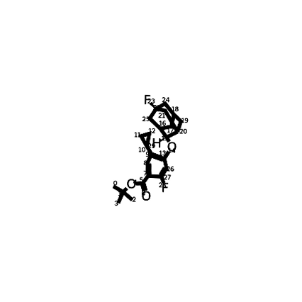 CC(C)(C)OC(=O)c1cc(C2CC2)c(O[C@H]2C3CC4CC2C[C@@](F)(C4)C3)cc1F